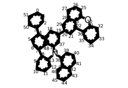 c1ccc(-c2ccc(-c3ccccc3N(c3cccc(-c4cc5c6c(cccc6c4)Oc4ccccc4-5)c3)c3cccc4ccccc34)cc2)cc1